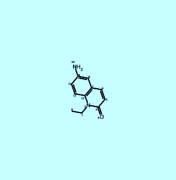 CCn1c(=O)ccc2cc(N)ccc21